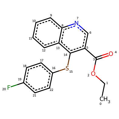 CCOC(=O)c1cnc2ccccc2c1Sc1ccc(F)cc1